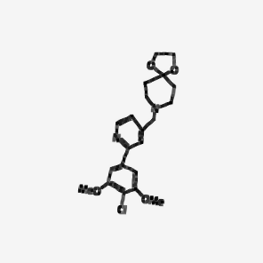 COc1cc(-c2cc(CN3CCC4(CC3)OCCO4)ccn2)cc(OC)c1Cl